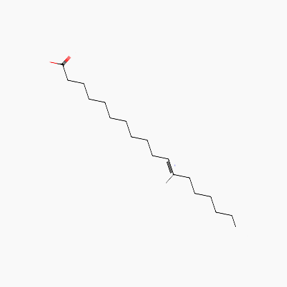 CCCCCC/C(C)=C/CCCCCCCCCC(=O)O